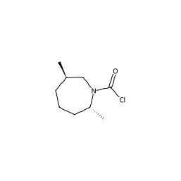 C[C@@H]1CCC[C@@H](C)N(C(=O)Cl)C1